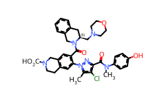 Cc1c(Cl)c(C(=O)N(C)c2ccc(O)cc2)nn1-c1cc2c(cc1C(=O)N1Cc3ccccc3C[C@H]1CN1CCOCC1)CN(C(=O)O)CC2